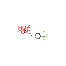 CCO[Si](O)(CCCc1ccc(C(F)(F)F)cc1)OCC